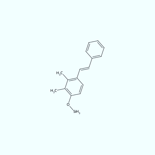 Cc1c(C=Cc2ccccc2)ccc(O[SiH3])c1C